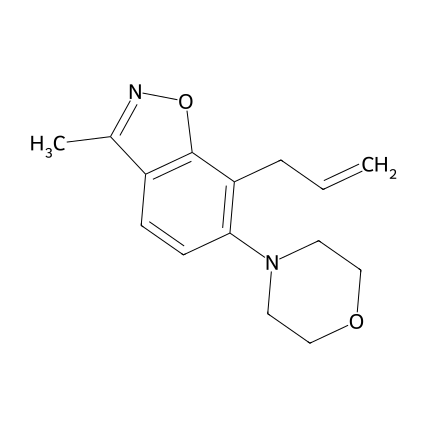 C=CCc1c(N2CCOCC2)ccc2c(C)noc12